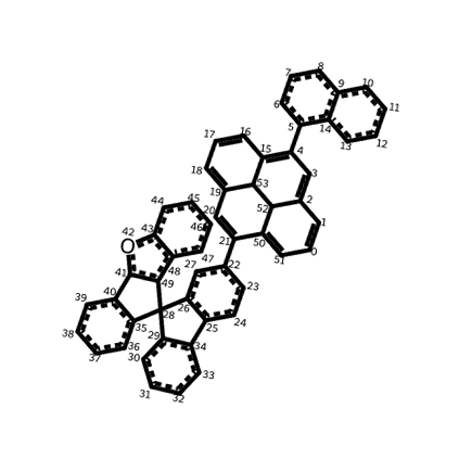 C1=CC2=CC(c3cccc4ccccc34)=C3C=CC=C4C=C(c5ccc6c(c5)C5(c7ccccc7-6)c6ccccc6-c6oc7ccccc7c65)C(=C1)C2C43